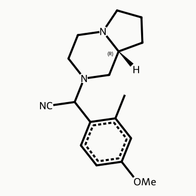 COc1ccc(C(C#N)N2CCN3CCC[C@@H]3C2)c(C)c1